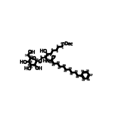 CCCCCCCCCCCCCCC[C@@H](O)[C@H](CO[C@H]1OC(CO)[C@H](O)C(O)C1O)NC(=O)CCCCCCCCCc1ccccc1